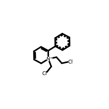 ClCC[N+]1(CCl)CC=CC=C1c1ccccc1